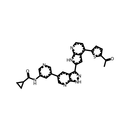 CC(=O)c1ccc(-c2ccnc3[nH]c(-c4n[nH]c5ncc(-c6cncc(NC(=O)C7CC7)c6)cc45)cc23)s1